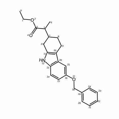 CCOC(=O)C(C)C1CCc2c([nH]c3ccc(OCc4ccccc4)cc23)C1